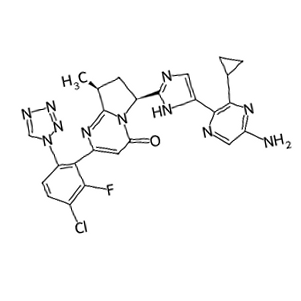 C[C@H]1C[C@@H](c2ncc(-c3ncc(N)nc3C3CC3)[nH]2)n2c1nc(-c1c(-n3cnnn3)ccc(Cl)c1F)cc2=O